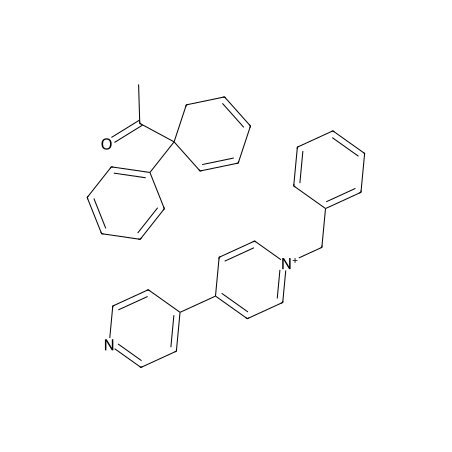 CC(=O)C1(c2ccccc2)C=CC=CC1.c1ccc(C[n+]2ccc(-c3ccncc3)cc2)cc1